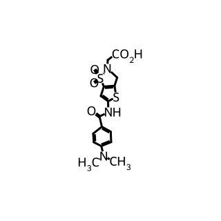 CN(C)c1ccc(C(=O)Nc2cc3c(s2)CN(CC(=O)O)S3(=O)=O)cc1